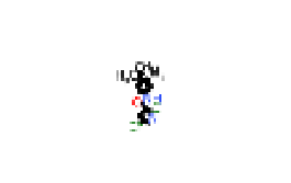 CC(C)(C)c1ccc(NC(=O)c2cc(Cl)cnc2Cl)cc1